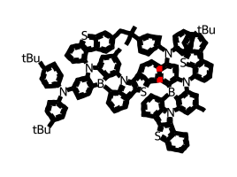 Cc1cc2c3c(c1)-n1c4c(cccc4c4sc5ccccc5c41)B3c1ccc(N(c3ccc(C(C)(C)C)cc3)c3ccc(C(C)(C)Cc4ccc5c(c4)sc4cccc(N6c7cc(N(c8ccc(C(C)(C)C)cc8)c8ccc(C(C)(C)C)cc8)ccc7B7c8c6cc(C)cc8-n6c8c7cccc8c7sc8ccccc8c76)c45)cc3)cc1N2c1cccc2c1sc1ccccc12